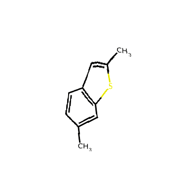 Cc1ccc2cc(C)sc2c1